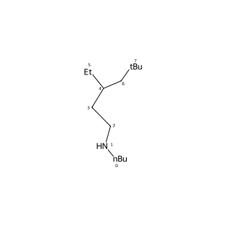 CCCCNCCC(CC)CC(C)(C)C